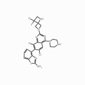 Nc1nc2c(-c3c(Cl)cc4c(N5CCNCC5)nc(N5CC6(C5)NCC6(F)F)nc4c3F)cccc2s1